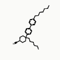 CCCCCCCc1ccc(-c2ccc(C3(CCCCCC)CCC(C#N)CC3)cc2)cc1